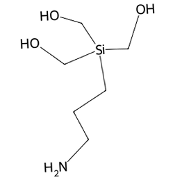 NCCC[Si](CO)(CO)CO